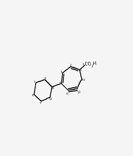 O=C(O)C1=CC=C(C2CCCCC2)C#CC1